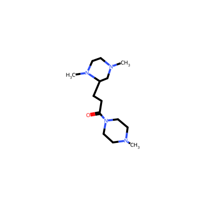 CN1CCN(C(=O)CCC2CN(C)CCN2C)CC1